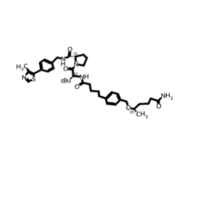 Cc1ncsc1-c1ccc(CNC(=O)[C@@H]2CCCN2C(=O)[C@@H](NC(=O)CCCCc2ccc(CO[C@H](C)CCCC(N)=O)cc2)C(C)(C)C)cc1